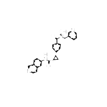 CN(Cc1cccnc1)C(=O)c1ccc([C@@H]2C[C@H]2C(=O)Nc2ccc3cnccc3c2)cc1